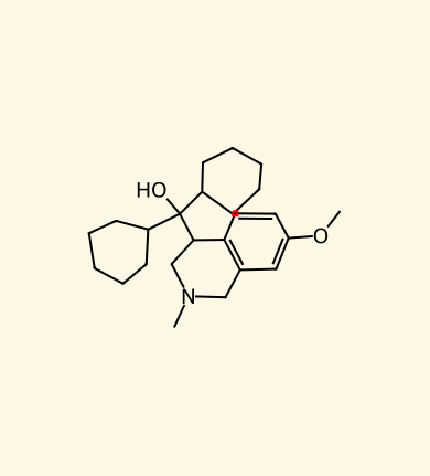 COc1ccc2c(c1)CN(C)CC2C(O)(C1CCCCC1)C1CCCCC1